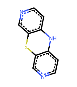 c1cc2c(cn1)Sc1cnccc1N2